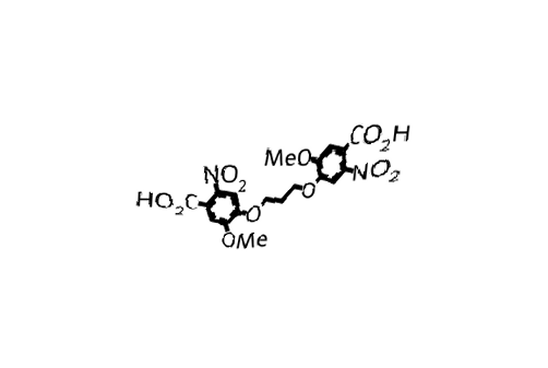 COc1cc(C(=O)O)c([N+](=O)[O-])cc1OCCCOc1cc([N+](=O)[O-])c(C(=O)O)cc1OC